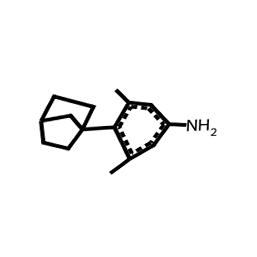 Cc1cc(N)cc(C)c1C12CCC(CC1)C2